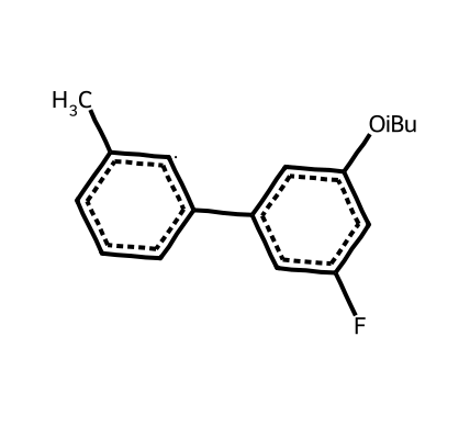 Cc1[c]c(-c2cc(F)cc(OCC(C)C)c2)ccc1